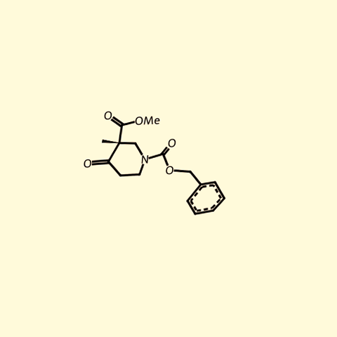 COC(=O)[C@]1(C)CN(C(=O)OCc2ccccc2)CCC1=O